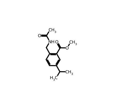 COC(=O)c1cc(C(C)C)ccc1CNC(C)=O